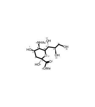 COC(=O)[C@@]1(O)C[C@@H](O)[C@@H](NC(C)=O)C([C@H](O)[C@H](O)CO)O1